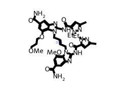 CCn1nc(C)cc1C(=O)Nc1nc2cc(C(N)=O)cc(OC)c2n1C/C=C/Cn1c(NC(=O)c2cc(C)nn2CC)nc2cc(C(N)=O)cc(OCCCOC)c21